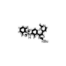 Cc1nccc(-c2sc(C(C)(C)C)nc2-c2cccc(NS(=O)(=O)c3c(F)cccc3F)c2F)n1